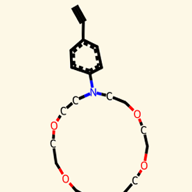 C#Cc1ccc(N2CCOCCOCCOCCOCCOCC2)cc1